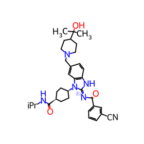 CC(C)NC(=O)[C@H]1CC[C@@H](n2/c(=N/C(=O)c3cccc(C#N)c3)[nH]c3ccc(CN4CCC(C(C)(C)O)CC4)cc32)CC1